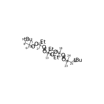 CCC(C)(OOC(C)(C)CC(C)(C)C)OOC(C)(CC)OOC(C)(CC)OOC(C)(C)CC(C)(C)C